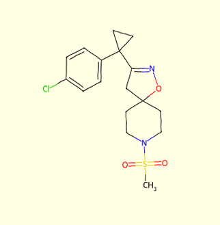 CS(=O)(=O)N1CCC2(CC1)CC(C1(c3ccc(Cl)cc3)CC1)=NO2